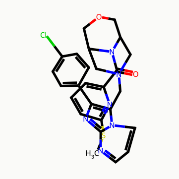 CSc1cccc(C(=O)N2C3COCC2CN(Cc2c(-c4ccc(Cl)cc4)nc4ncccn24)C3)n1